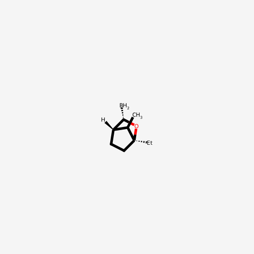 B[C@@H]1O[C@@]2(CC)CC[C@H]1C2C